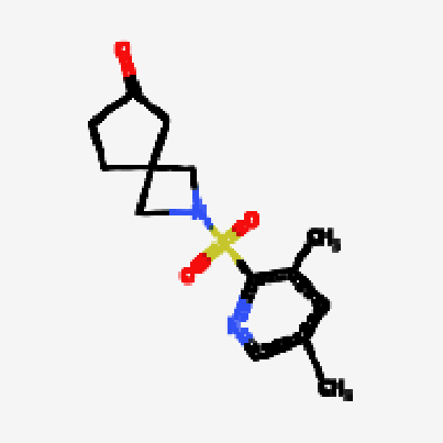 Cc1cnc(S(=O)(=O)N2CC3(CCC(=O)C3)C2)c(C)c1